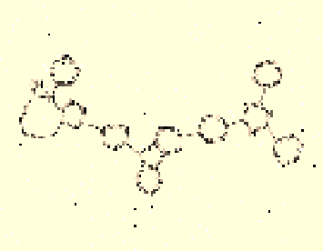 C=C1/C=C\C=C/Cc2cc(-c3ccc(-n4c5ccccc5c5cc(-c6ccc(-c7nc(-c8ccccc8)nc(-c8ccccc8)n7)cc6)ccc54)cc3)ccc2N1c1ccccc1